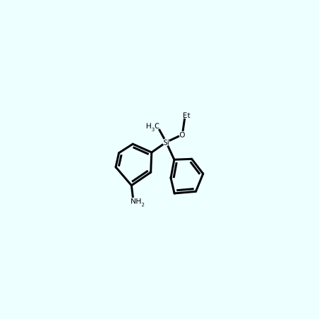 CCO[Si](C)(c1ccccc1)c1cccc(N)c1